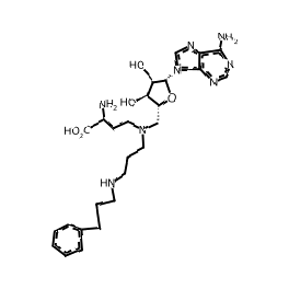 Nc1ncnc2c1ncn2[C@@H]1O[C@H](CN(CCCNCCCc2ccccc2)CCC(N)C(=O)O)[C@@H](O)[C@H]1O